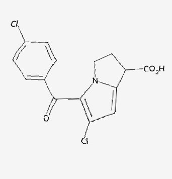 O=C(c1ccc(Cl)cc1)c1c(Cl)cc2n1CCC2C(=O)O